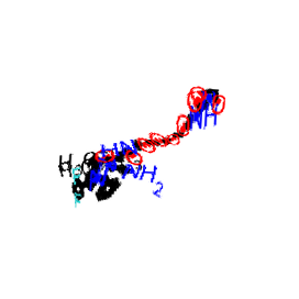 CC(C)(C)[C@H](c1cc(-c2cc(F)ccc2F)cn1Cc1ccccc1)N(CCCN)C(=O)CCC(=O)NCCOCCOCCOCCOCCNC(=O)CN1C(=O)C=CC1=O